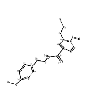 C=Cc1ccc(C(=O)NCCc2ccc(CC)cc2)cc1CCC